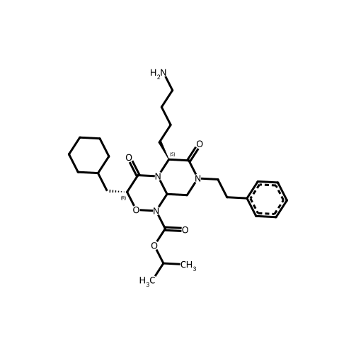 CC(C)OC(=O)N1O[C@H](CC2CCCCC2)C(=O)N2C1CN(CCc1ccccc1)C(=O)[C@@H]2CCCCN